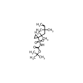 C=CC(C)(C)CC(C)(C)C1(S(=O)(=O)NC(=O)OC(C)(C)C)CC1